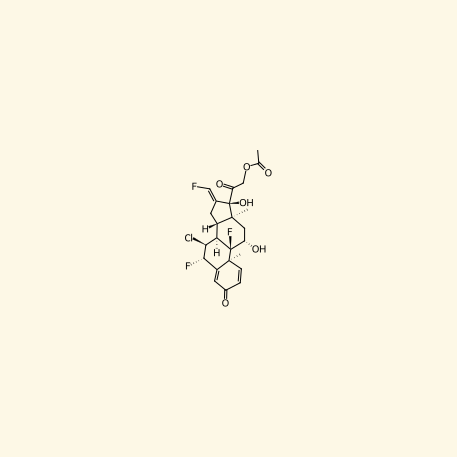 CC(=O)OCC(=O)[C@@]1(O)C(=CF)C[C@H]2[C@@H]3[C@H](Cl)[C@@H](F)C4=CC(=O)C=C[C@]4(C)[C@@]3(F)[C@@H](O)C[C@@]21C